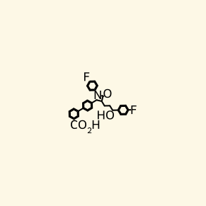 O=C(O)c1cccc(-c2ccc(C3C(CC[C@H](O)c4ccc(F)cc4)C(=O)N3c3ccc(F)cc3)cc2)c1